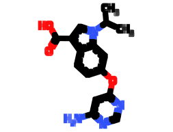 CC(C)n1cc(C(=O)O)c2ccc(Oc3cc(N)ncn3)cc21